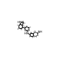 N=C1CCc2ccc(Nc3nccc(-c4cccc5[nH]ccc45)n3)cc2O1